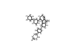 CN1CCN(c2ccc(-c3ccc4[nH]c5nccc(-c6cccc(-c7ccccc7)c6)c5c4c3)cc2)CC1